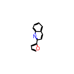 c1coc(-c2ccc3ccccc3n2)c1